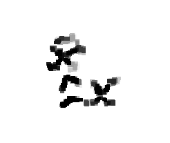 C=CC.C=CC.OP(O)(O)=S.OP(O)(O)=S.[CaH2]